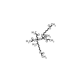 C=CC(=O)CCC(CCC(=C)CCCCCOC(=O)C=C)(COCC(COC)(COC(=O)C=C)COC(=O)CCCCCOC(=O)C=C)COC(=O)C=C